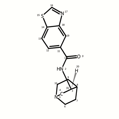 O=C(N[C@@H]1CN2CCC1CC2)c1ccc2scnc2c1